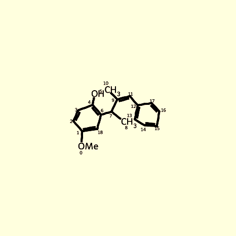 COc1ccc(O)c(C(C)/C(C)=C\c2ccccc2)c1